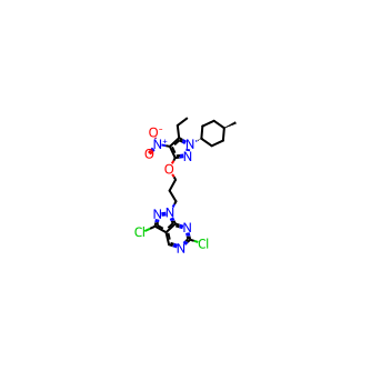 CCc1c([N+](=O)[O-])c(OCCCn2nc(Cl)c3cnc(Cl)nc32)nn1[C@H]1CC[C@H](C)CC1